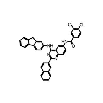 O=C(Nc1ccc2nc(-c3ccc4ccccc4c3)nc(Nc3ccc4c(c3)Cc3ccccc3-4)c2c1)c1ccc(Cl)c(Cl)c1